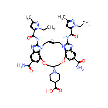 CCn1nc(C)cc1C(=O)Nc1nc2cc(C(N)=O)cc3c2n1C/C=C/Cn1c(NC(=O)c2cc(C)nn2CC)nc2cc(C(N)=O)cc(c21)OCC(N1CCC(C(=O)O)CC1)CO3